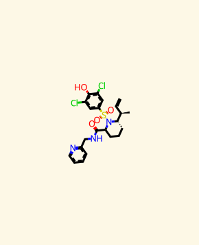 C=C[C@@H](C)[C@@H]1CCCC(C(=O)NCc2ccccn2)N1S(=O)(=O)c1cc(Cl)c(O)c(Cl)c1